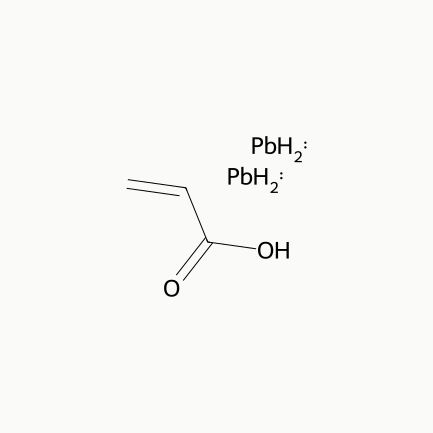 C=CC(=O)O.[PbH2].[PbH2]